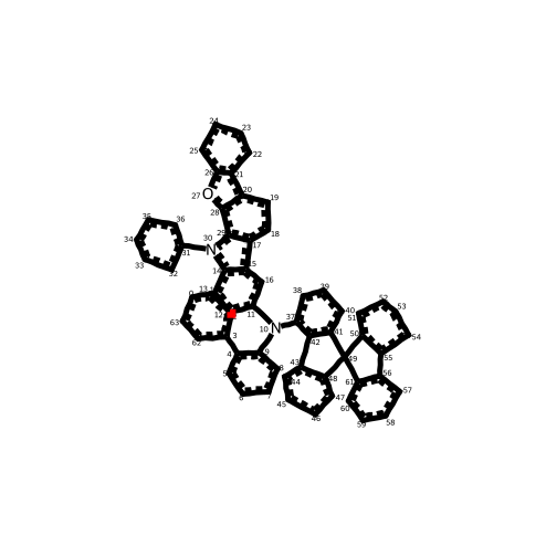 c1ccc(-c2ccccc2N(c2ccc3c(c2)c2ccc4c5ccccc5oc4c2n3-c2ccccc2)c2cccc3c2-c2ccccc2C32c3ccccc3-c3ccccc32)cc1